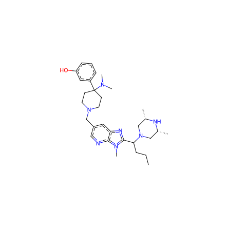 CCCC(c1nc2cc(CN3CCC(c4cccc(O)c4)(N(C)C)CC3)cnc2n1C)N1C[C@@H](C)N[C@@H](C)C1